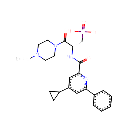 CCOC(=O)N1CCN(C(=O)[C@H](CP(=O)(O)O)NC(=O)c2cc(C3CC3)cc(-c3ccccc3)n2)CC1